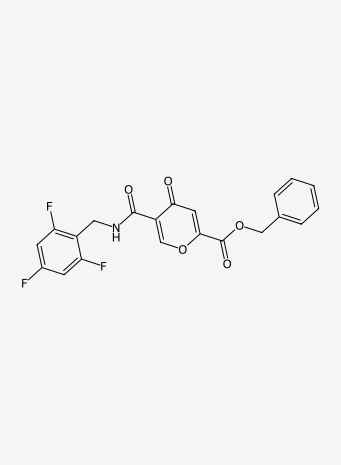 O=C(OCc1ccccc1)c1cc(=O)c(C(=O)NCc2c(F)cc(F)cc2F)co1